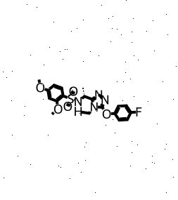 CCn1c(Oc2ccc(F)cc2)nnc1[C@@H](C)NS(=O)(=O)c1ccc(OC)cc1OC